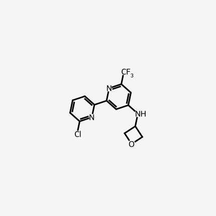 FC(F)(F)c1cc(NC2COC2)cc(-c2cccc(Cl)n2)n1